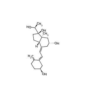 C=C1CC[C@H](O)C/C1=C/C=C1\C[C@@H](O)C[C@@]2(C)[C@H]1CC[C@]2(O)[C@H](C)O